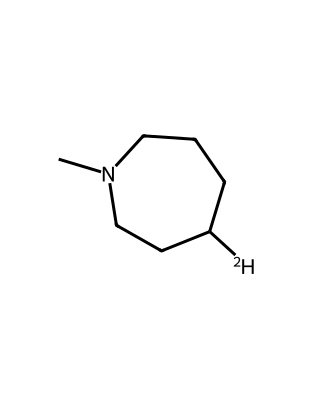 [2H]C1CCCN(C)CC1